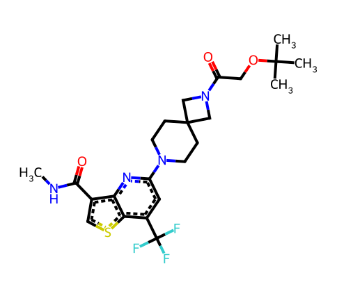 CNC(=O)c1csc2c(C(F)(F)F)cc(N3CCC4(CC3)CN(C(=O)COC(C)(C)C)C4)nc12